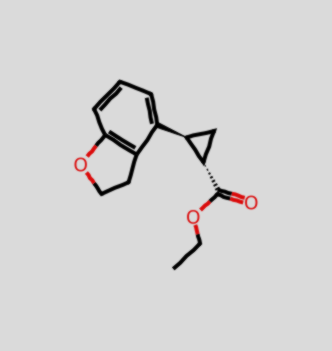 CCOC(=O)[C@H]1C[C@@H]1c1cccc2c1CCO2